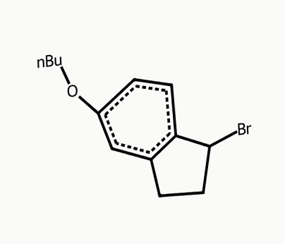 CCCCOc1ccc2c(c1)CCC2Br